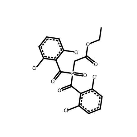 CCOC(=O)CP(=O)(C(=O)c1c(Cl)cccc1Cl)C(=O)c1c(Cl)cccc1Cl